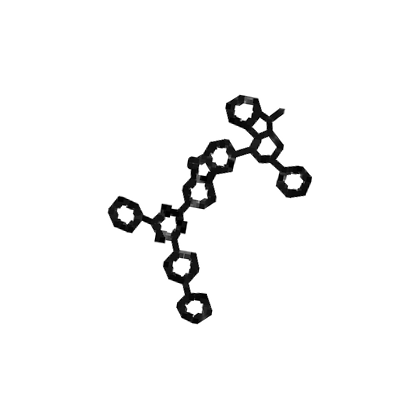 CC1c2ccccc2C2=C(c3ccc4oc5cc(-c6nc(-c7ccccc7)nc(-c7ccc(-c8ccccc8)cc7)n6)ccc5c4c3)C=C(c3ccccc3)CC21